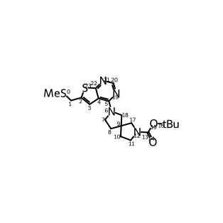 CSCc1cc2c(N3CCC4(CCN(C(=O)OC(C)(C)C)C4)C3)ncnc2s1